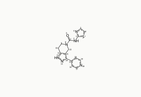 O=C(Nc1nccs1)N1CCc2[nH]nc(-c3ccncc3)c2C1